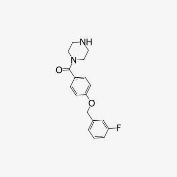 O=C(c1ccc(OCc2cccc(F)c2)cc1)N1CCNCC1